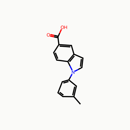 Cc1cccc(-n2ccc3cc(C(=O)O)ccc32)c1